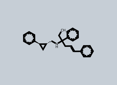 CCC(CC=Cc1ccccc1)(NC[C@@H]1C[C@H]1c1ccccc1)c1ccccc1